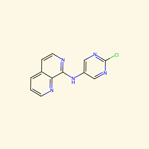 Clc1ncc(Nc2nccc3cccnc23)cn1